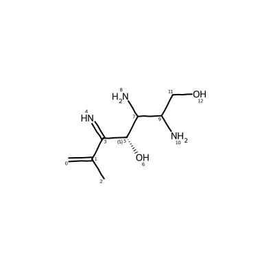 C=C(C)C(=N)[C@@H](O)C(N)C(N)CO